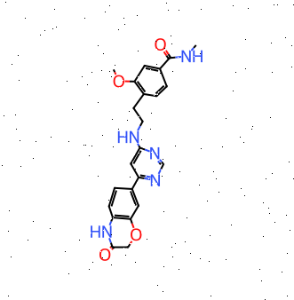 CNC(=O)c1ccc(CCNc2cc(-c3ccc4c(c3)OCC(=O)N4)ncn2)c(OC)c1